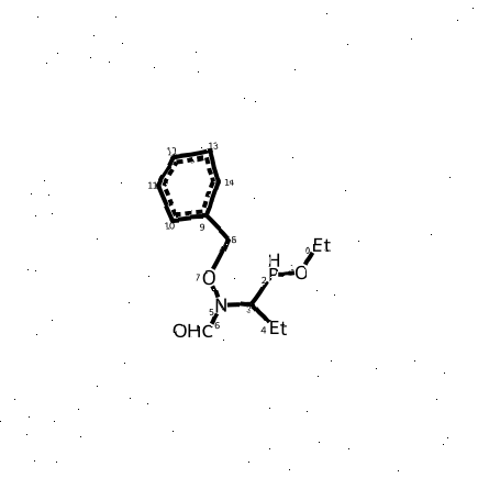 CCOPC(CC)N(C=O)OCc1ccccc1